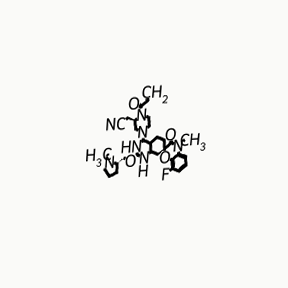 C=CC(=O)N1CCN(C2NC(OC[C@@H]3CCCN3C)NC3C[C@]4(CCC32)Oc2c(F)cccc2N(C)C4=O)C[C@H]1CC#N